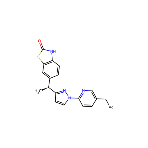 CC(=O)Cc1ccc(-n2ccc([C@@H](C)c3ccc4[nH]c(=O)sc4c3)n2)nc1